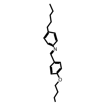 CCCCCc1ccc(N=Cc2ccc(OCCCC)cc2)cc1